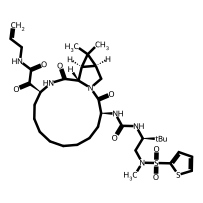 C=CCNC(=O)C(=O)[C@@H]1CCCCCCCC[C@H](NC(=O)N[C@H](CN(C)S(=O)(=O)c2cccs2)C(C)(C)C)C(=O)N2C[C@H]3[C@@H]([C@H]2C(=O)N1)C3(C)C